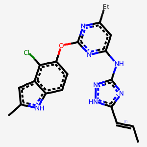 C/C=C/c1nc(Nc2cc(CC)nc(Oc3ccc4[nH]c(C)cc4c3Cl)n2)n[nH]1